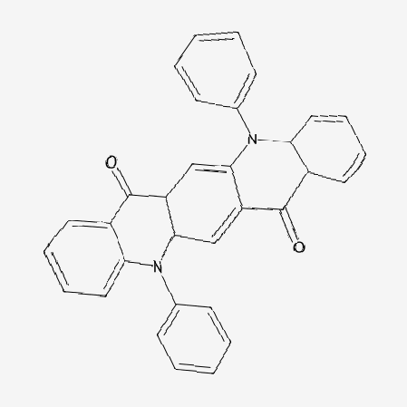 O=C1C2=CC3C(C=C2N(c2ccccc2)C2C=CC=CC12)C(=O)c1ccccc1N3c1ccccc1